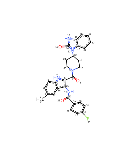 Cc1ccc2[nH]c(C(=O)N3CCC(n4c(=O)[nH]c5ccccc54)CC3)c(NC(=O)c3ccc(F)cc3)c2c1